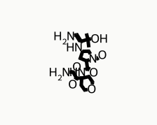 CC(C)(O)/C(=C/N)NC1CC(C(=O)NC2(C(=O)C(N)=O)CCOCC2)N(C=O)C1